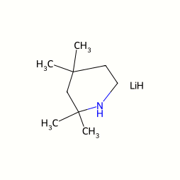 CC1(C)CCNC(C)(C)C1.[LiH]